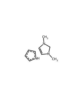 CN1C=CN(C)C1.c1cc[nH]c1